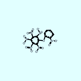 O=[N+]([O-])c1ccccc1Oc1c([N+](=O)[O-])c([N+](=O)[O-])c([N+](=O)[O-])c([N+](=O)[O-])c1[N+](=O)[O-]